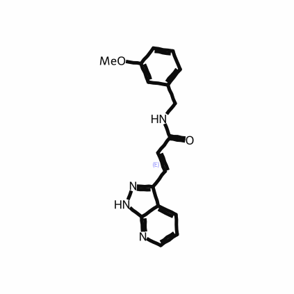 COc1cccc(CNC(=O)/C=C/c2n[nH]c3ncccc23)c1